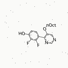 CCCCCCCCOc1cncnc1-c1ccc(O)c(F)c1F